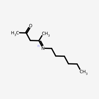 CCCCCC/N=C(\C)CC(C)=O